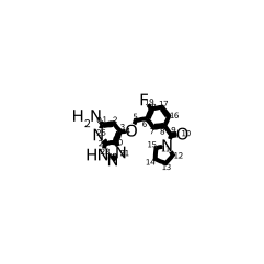 Nc1cc(OCc2cc(C(=O)N3CCCC3)ccc2F)c2nn[nH]c2n1